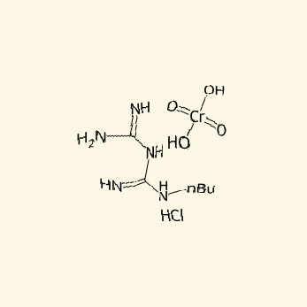 CCCCNC(=N)NC(=N)N.Cl.[O]=[Cr](=[O])([OH])[OH]